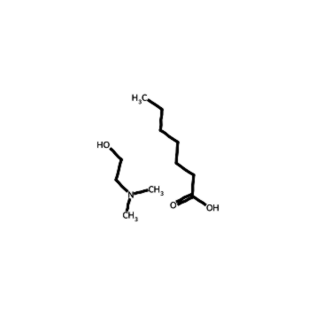 CCCCCCC(=O)O.CN(C)CCO